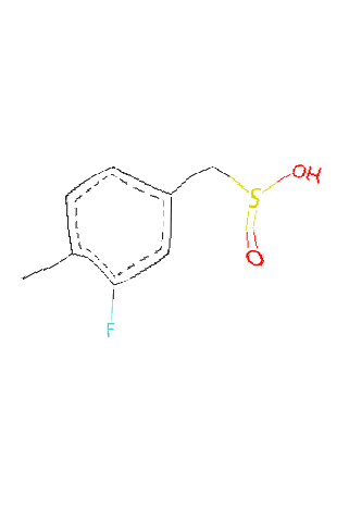 Cc1ccc(CS(=O)O)cc1F